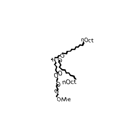 CCCCCCCC/C=C\CCCCCCCCCOCC(CN(C)CCCCC(=O)OCCOCCOCCOC)OCCCCCCCC/C=C\CCCCCCCC